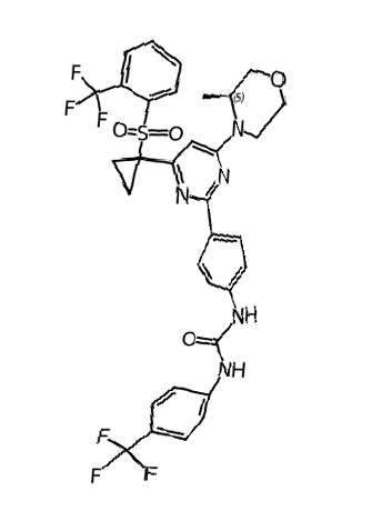 C[C@H]1COCCN1c1cc(C2(S(=O)(=O)c3ccccc3C(F)(F)F)CC2)nc(-c2ccc(NC(=O)Nc3ccc(C(F)(F)F)cc3)cc2)n1